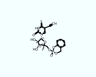 C#Cc1cn([C@@H]2O[C@](F)(COP3(=O)OCc4ccccc4O3)[C@@H](O)[C@H]2O)c(=O)[nH]c1=S